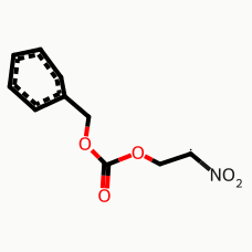 O=C(OC[CH][N+](=O)[O-])OCc1ccccc1